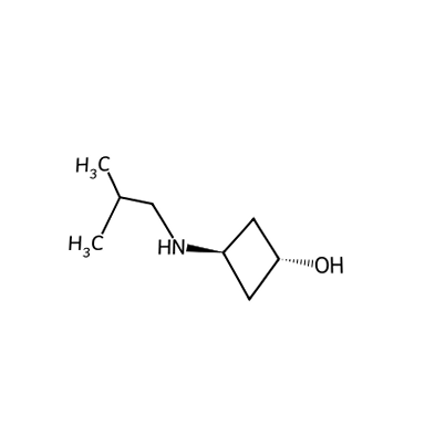 CC(C)CN[C@H]1C[C@H](O)C1